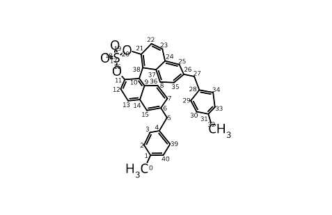 Cc1ccc(Cc2ccc3c4c(ccc3c2)OS(=O)(=O)Oc2ccc3cc(Cc5ccc(C)cc5)ccc3c2-4)cc1